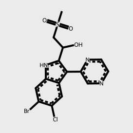 CS(=O)(=O)CC(O)c1[nH]c2cc(Br)c(Cl)cc2c1-c1cnccn1